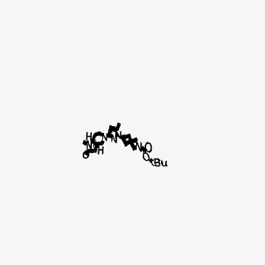 Cc1cc(N2CC[C@H]3[C@@H](CC(=O)N3C)C2)nn1C1CC2(C1)CN(C(=O)OC(C)(C)C)C2